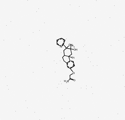 CCC12CC(C)(O)C(O)(c3ccccn3)CC1CCc1cc(OCC(N)=O)ccc12